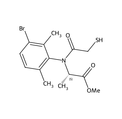 COC(=O)[C@H](C)N(C(=O)CS)c1c(C)ccc(Br)c1C